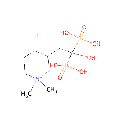 C[N+]1(C)CCCC(CC(O)(P(=O)(O)O)P(=O)(O)O)C1.[I-]